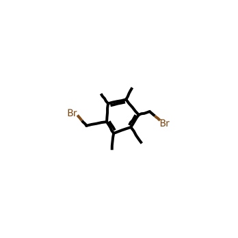 Cc1c(C)c(CBr)c(C)c(C)c1CBr